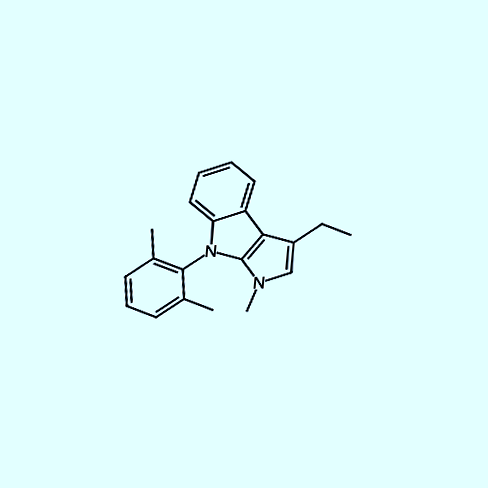 CCc1cn(C)c2c1c1ccccc1n2-c1c(C)cccc1C